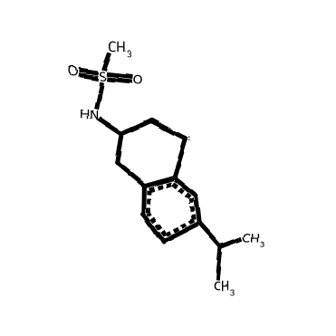 CC(C)c1ccc2c(c1)[C]CC(NS(C)(=O)=O)C2